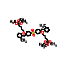 CO[Si](CCCCOC1(Cc2ccccc2C)C=CC(S(=O)(=O)C2C=CC(Cc3ccccc3C)(OCCCC[Si](OC)(OC)OC)C=C2)C=C1)(OC)OC